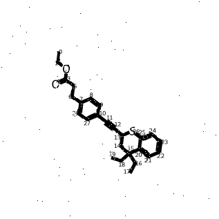 CCOC(=O)CCc1ccc(C#CC2CC(CC)(CC)c3ccccc3S2)cc1